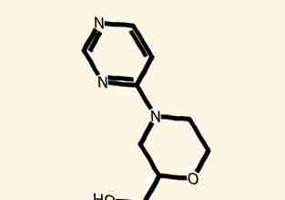 OCC1CN(c2ccncn2)CCO1